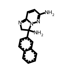 NC1=NN2C(=NCC2(N)c2ccc3ccccc3c2)C=C1